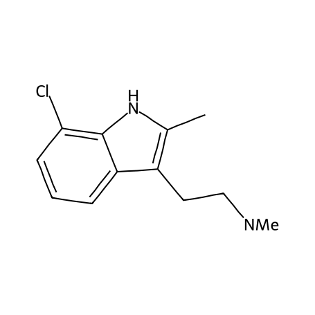 CNCCc1c(C)[nH]c2c(Cl)cccc12